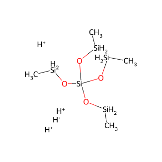 C[SiH2]O[Si](O[SiH2]C)(O[SiH2]C)O[SiH2]C.[H+].[H+].[H+].[H+]